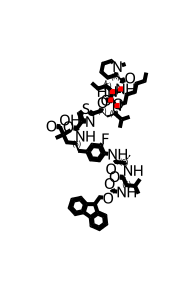 CCCCCCN(C(=O)[C@@H](NC(=O)[C@H]1CCCCN1C)[C@@H](C)CC)[C@H](C[C@@H](OC(=O)NC)c1nc(C(=O)N[C@@H](Cc2ccc(NC(=O)[C@H](C)NC(=O)[C@@H](NC(=O)OCC3c4ccccc4-c4ccccc43)C(C)C)c(F)c2)CC(C)(C)C(=O)O)cs1)C(C)C